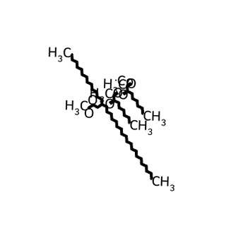 CCCCCCCC(=O)C(C)=O.CCCCCCCC(=O)C(C)=O.CCCCCCCCCCCCCCCCCCCCCC(CCCCCCCCCCCCCC)CC(=O)C(C)=O.[Co]